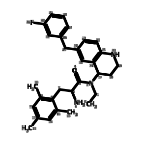 CCN(C(=O)C(N)Cc1c(C)cc(C)cc1C)C1CCNc2ccc(Cc3cccc(F)c3)cc21